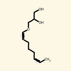 C/C=C\CCC/C=C\OCC(O)CO